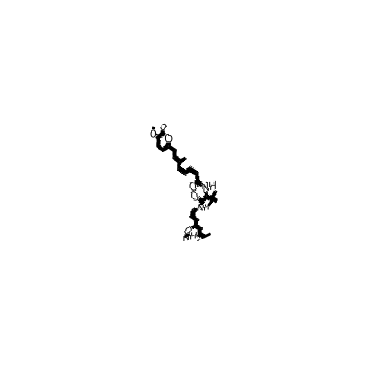 C/C=C\CC(C/C=C\NC(=O)C(NC(=O)\C=C/C=C\C(C)=C\CC1CC=C(OC)C(=O)O1)C(C)(C)C)ON